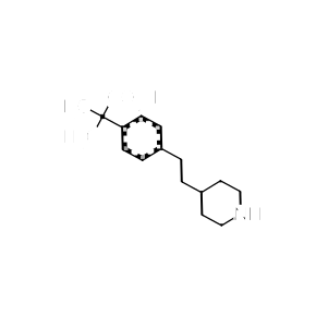 CC(C)(C(=O)O)c1ccc(CCC2CCNCC2)cc1